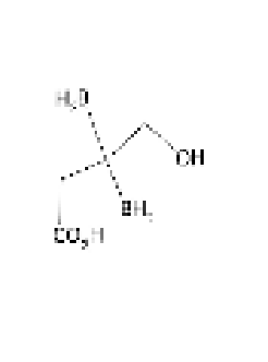 BC(B)(CO)CC(=O)O